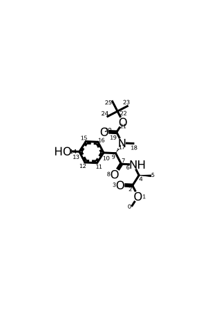 COC(=O)[C@H](C)NC(=O)[C@H](c1ccc(O)cc1)N(C)C(=O)OC(C)(C)C